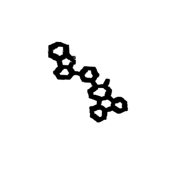 CC1C=c2c(c3ccccc3c3ccccc23)=CC=C1c1cccc(-c2cccc3c2sc2ccccc23)c1